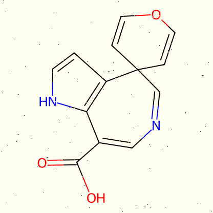 O=C(O)C1=CN=CC2(C=COC=C2)c2cc[nH]c21